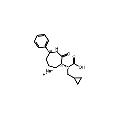 O=C1N[C@H](c2ccccc2)CCC[C@@H]1N(CC1CC1)C(=O)O.[H-].[Na+]